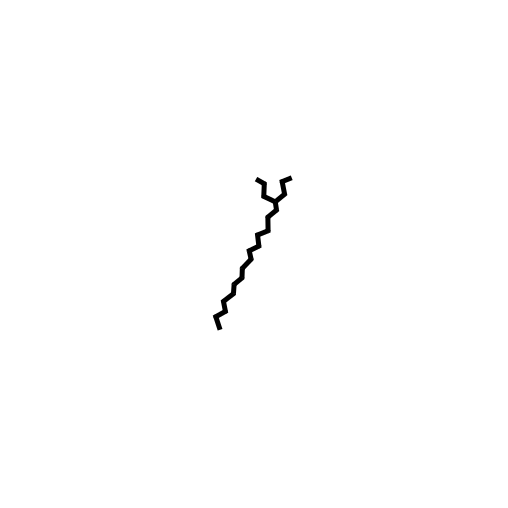 CCCCCCCCCCCCCCCC(CCC)CCC